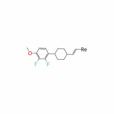 COc1ccc(C2CCC(/C=[CH]/[Re])CC2)c(F)c1F